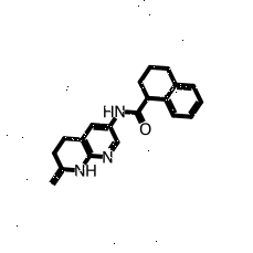 C=C1CCc2cc(NC(=O)C3CCCc4ccccc43)cnc2N1